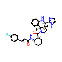 O=C(/C=C/c1ccc(F)cc1)N[C@@H]1CCCC[C@@H]1C(=O)N1CC[C@H]2[C@H](c3ncc[nH]3)Nc3ccccc3[C@@H]21